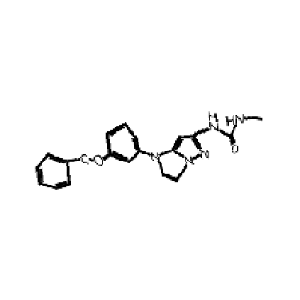 CNC(=O)Nc1cc2n(n1)CCN2c1cccc(OCc2ccccc2)c1